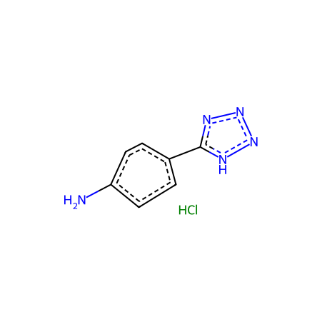 Cl.Nc1ccc(-c2nnn[nH]2)cc1